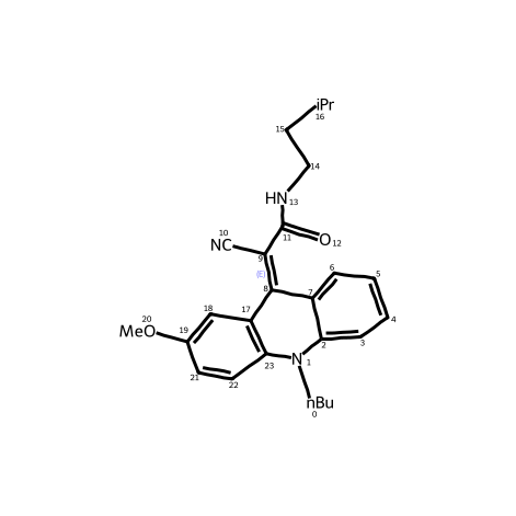 CCCCN1c2ccccc2/C(=C(/C#N)C(=O)NCCC(C)C)c2cc(OC)ccc21